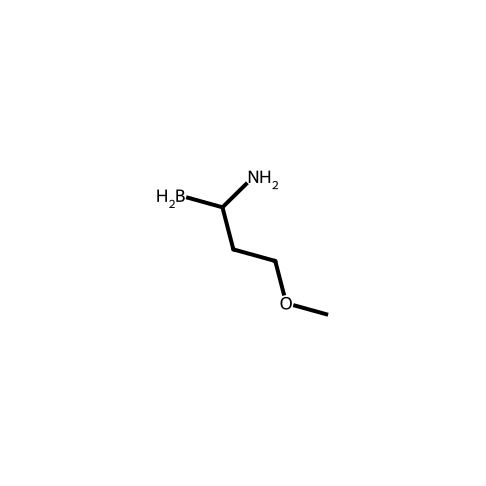 BC(N)CCOC